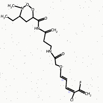 C=C(CCNC(=O)CO/C=C/C=C(/Cl)C(=C)F)NC(=O)C1CC(CC)N(C)OO1